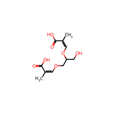 CC(=COCC(CO)OC=C(C)C(=O)O)C(=O)O